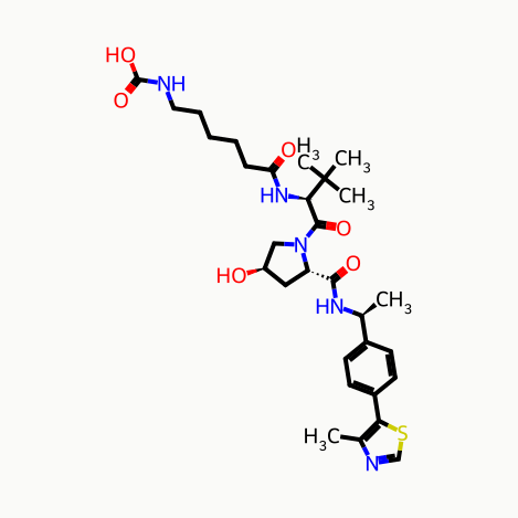 Cc1ncsc1-c1ccc([C@H](C)NC(=O)[C@@H]2C[C@@H](O)CN2C(=O)[C@@H](NC(=O)CCCCCNC(=O)O)C(C)(C)C)cc1